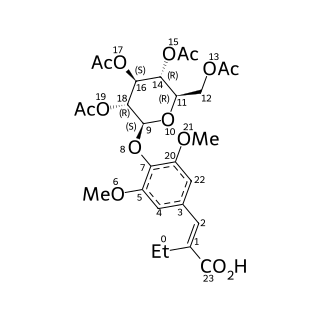 CCC(=Cc1cc(OC)c(O[C@@H]2O[C@H](COC(C)=O)[C@@H](OC(C)=O)[C@H](OC(C)=O)[C@H]2OC(C)=O)c(OC)c1)C(=O)O